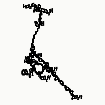 O=C(O)CCOCCOCCOCCOCCOCCOCCOCCOCCNc1nc(Nc2ccc(CC3CN(CC(=O)O)CCN(CC(=O)O)CCN(CC(=O)O)CCN3CC(=O)O)cc2)nc(N2CCN(CCCCCCCCCCC(=O)NCCCC[C@H](NC(=O)NCC(=O)O)C(=O)O)CC2)n1